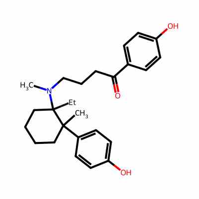 CCC1(N(C)CCCC(=O)c2ccc(O)cc2)CCCCC1(C)c1ccc(O)cc1